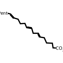 CCCCC/C=C/CCC/C=C/C/C=C/CCCCC(=O)O